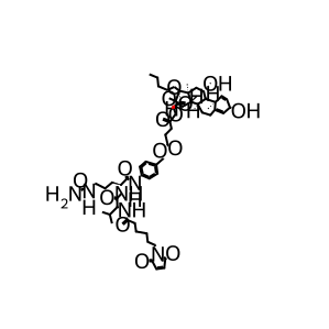 CCCC1O[C@@H]2C[C@H]3[C@@H]4CCC5=CC(O)C=C[C@]5(C)[C@H]4[C@@H](O)C[C@]3(C)[C@]2(C(=O)COC(=O)CCC(=O)OCc2ccc(NC(=O)[C@H](CCCNC(N)=O)NC(=O)[C@@H](NC(=O)CCCCCN3C(=O)C=CC3=O)C(C)C)cc2)O1